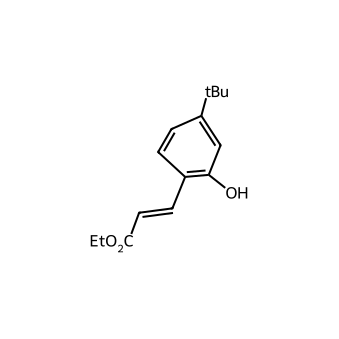 CCOC(=O)C=Cc1ccc(C(C)(C)C)cc1O